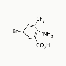 Nc1c(C(=O)O)cc(Br)cc1C(F)(F)F